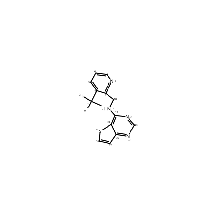 FC(I)(I)c1cccnc1CNc1ncnc2ccsc12